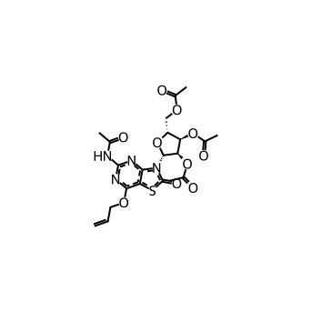 C=CCOc1nc(NC(C)=O)nc2c1sc(=O)n2[C@@H]1O[C@H](COC(C)=O)[C@@H](OC(C)=O)[C@H]1OC(C)=O